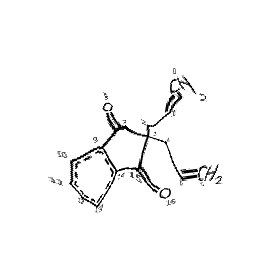 C=CCC1(CC=C)C(=O)c2ccccc2C1=O